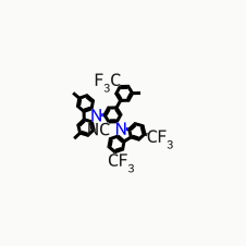 Cc1cc(-c2cc(-n3c4ccc(C)cc4c4cc(C)ccc43)c(C#N)c(-n3c4ccc(C(F)(F)F)cc4c4cc(C(F)(F)F)ccc43)c2)cc(C(F)(F)F)c1